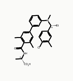 CC[C@H](c1ccc(Cl)c(C)c1)N(C)c1cccc(-c2cc(C)c(C(=O)N[C@@H](C)C(=O)O)c(C)c2)c1